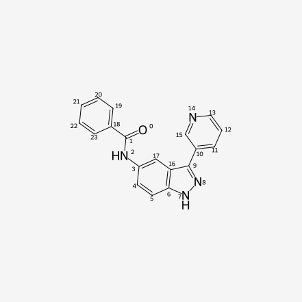 O=C(Nc1ccc2[nH]nc(-c3cccnc3)c2c1)c1ccccc1